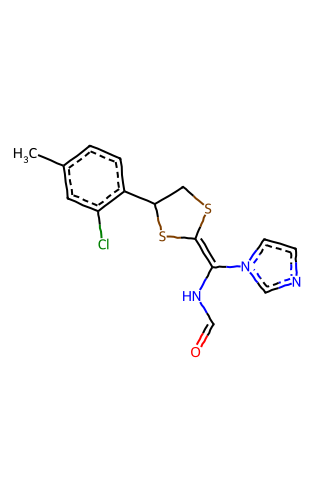 Cc1ccc(C2CS/C(=C(/NC=O)n3ccnc3)S2)c(Cl)c1